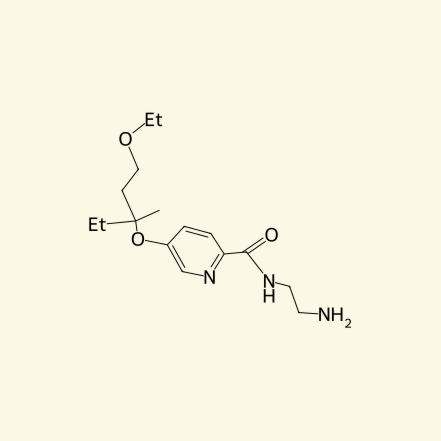 CCOCCC(C)(CC)Oc1ccc(C(=O)NCCN)nc1